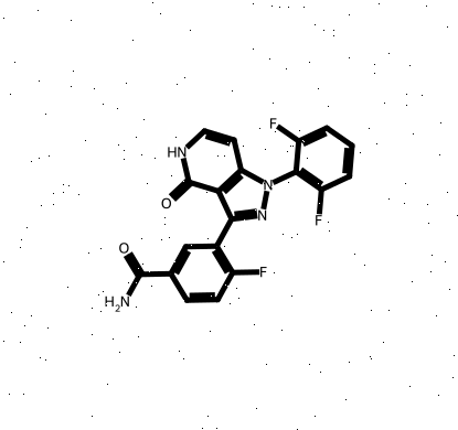 NC(=O)c1ccc(F)c(-c2nn(-c3c(F)cccc3F)c3cc[nH]c(=O)c23)c1